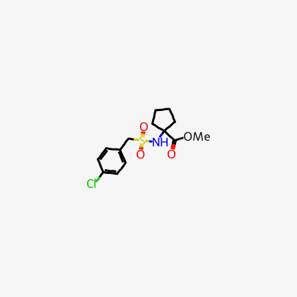 COC(=O)C1(NS(=O)(=O)Cc2ccc(Cl)cc2)CCCC1